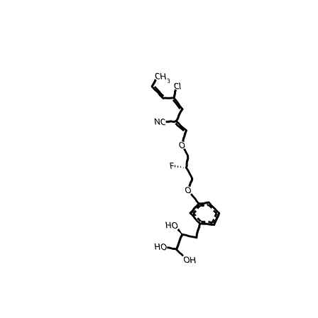 C\C=C/C(Cl)=C\C(C#N)=C\OC[C@@H](F)COc1cccc(C[C@H](O)C(O)O)c1